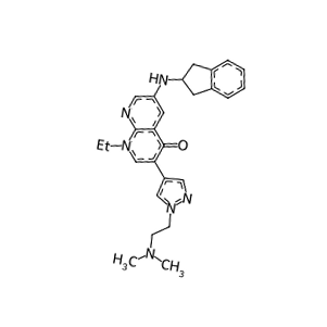 CCn1cc(-c2cnn(CCN(C)C)c2)c(=O)c2cc(NC3Cc4ccccc4C3)cnc21